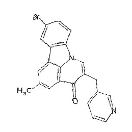 Cc1cc2c(=O)c(Cc3cccnc3)cn3c4ccc(Br)cc4c(c1)c23